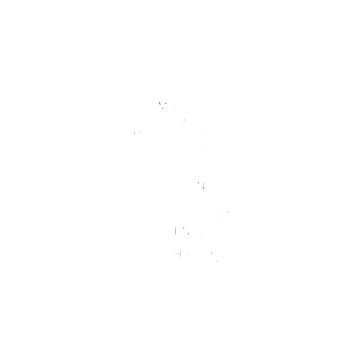 COC(=O)c1cccc(-c2ccc3c(n2)OCC(C)(C)N3)c1